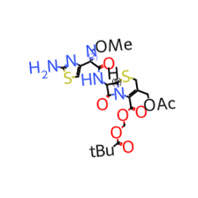 CO/N=C(\C(=O)NC1C(=O)N2C(C(=O)OCOC(=O)C(C)(C)C)=C(COC(C)=O)CS[C@H]12)c1csc(N)n1